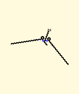 CCCCCCCCCCCCCCCCCCCC/C=C/CCCc1ccccc1/N=C(CCCC)\C(CCCCCCCC)=N\c1ccccc1CCC/C=C/CCCCCCCCCCCCCCCCCCCC.[Pd]